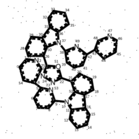 c1cncc(-c2cccc(-n3c4ccccc4c4cccc(-c5nnc(-c6cccc7c8ccccc8n(-c8cccc(-c9cccnc9)n8)c67)o5)c43)n2)c1